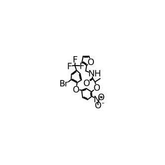 CC(Oc1cc(Oc2ccc(C(F)(F)F)cc2Br)ccc1[N+](=O)[O-])C(=O)NCc1ccco1